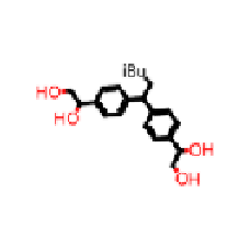 CCC(C)CC(c1ccc(C(O)CO)cc1)c1ccc(C(O)CO)cc1